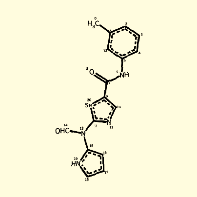 Cc1cccc(NC(=O)c2cnc(N(C=O)c3ccc[nH]3)[se]2)c1